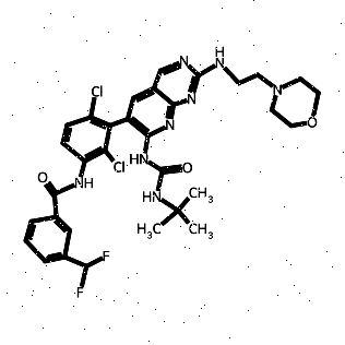 CC(C)(C)NC(=O)Nc1nc2nc(NCCN3CCOCC3)ncc2cc1-c1c(Cl)ccc(NC(=O)c2cccc(C(F)F)c2)c1Cl